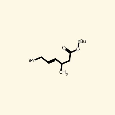 CCCCOC(=O)CC(C)C=CCC(C)C